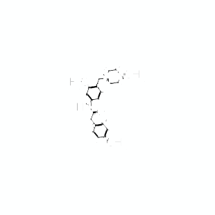 Cc1ccc(CC(=O)Nc2ccc(CN3CCN(C)CC3)c(C(F)(F)F)c2)cc1